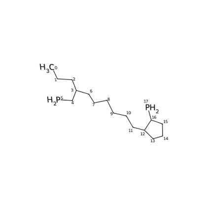 CCCC(CP)CCCCCCC1CCCC1P